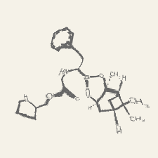 CC1(C)[C@@H]2C[C@H]3OB([C@H](Cc4ccccc4)NC(=O)OCC4CCCCN4)O[C@@]3(C)[C@H]1C2